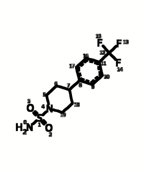 NS(=O)(=O)N1CCC(c2ccc(C(F)(F)F)cc2)CC1